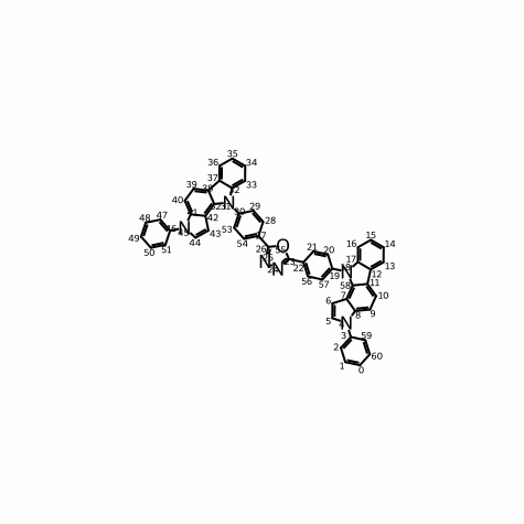 c1ccc(-n2ccc3c2ccc2c4ccccc4n(-c4ccc(-c5nnc(-c6ccc(-n7c8ccccc8c8ccc9c(ccn9-c9ccccc9)c87)cc6)o5)cc4)c23)cc1